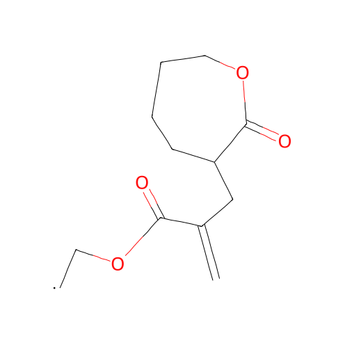 [CH2]COC(=O)C(=C)CC1CCCCOC1=O